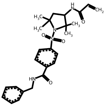 C=CC(=O)NC1CC(C)(C)N(S(=O)(=O)c2ccc(C(=O)NCc3ccccc3)cc2)C1(C)C